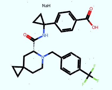 O=C(O)c1ccc(C2(NC(=O)[C@H]3CC4(CCN3Cc3ccc(C(F)(F)F)cc3)CC4)CC2)cc1.[NaH]